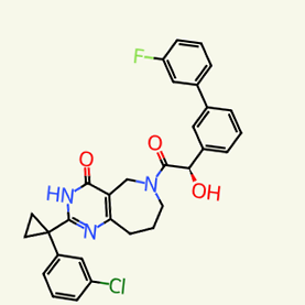 O=C([C@H](O)c1cccc(-c2cccc(F)c2)c1)N1CCCc2nc(C3(c4cccc(Cl)c4)CC3)[nH]c(=O)c2C1